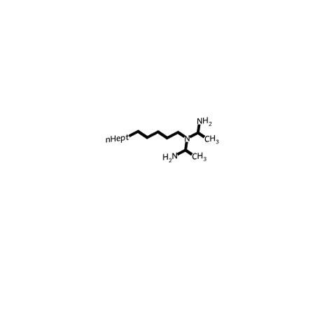 CCCCCCCCCCCCN(C(C)N)C(C)N